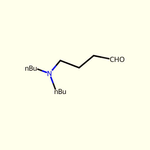 CCCCN(CCCC)CCCC=O